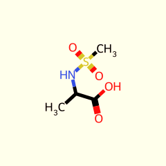 CC(NS(C)(=O)=O)C(=O)O